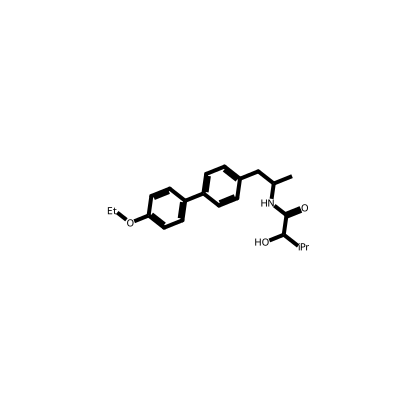 CCOc1ccc(-c2ccc(CC(C)NC(=O)C(O)C(C)C)cc2)cc1